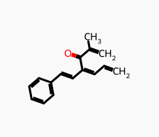 C=CC=C(C=Cc1ccccc1)C(=O)C(=C)C